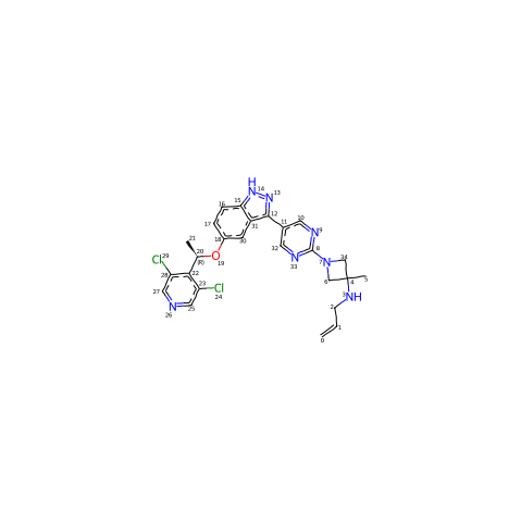 C=CCNC1(C)CN(c2ncc(-c3n[nH]c4ccc(O[C@H](C)c5c(Cl)cncc5Cl)cc34)cn2)C1